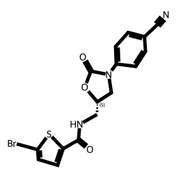 N#Cc1ccc(N2C[C@H](CNC(=O)c3ccc(Br)s3)OC2=O)cc1